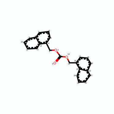 O=C(OCc1cccc2ccccc12)OCc1cccc2ccccc12